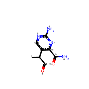 CC(C=O)c1cnc(N)nc1C(N)=O